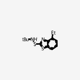 CCc1cccc2sc(SNC(C)(C)C)nc12